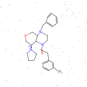 O=C(Cc1cccc(C(F)(F)F)c1)N1CCN(Cc2ccccc2)C2COC[C@H](N3CCCC3)C21